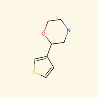 c1cc(C2C[N]CCO2)cs1